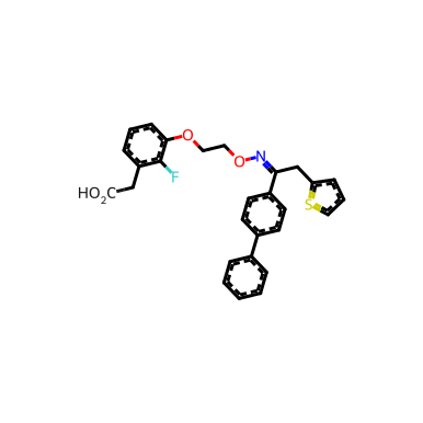 O=C(O)Cc1cccc(OCCON=C(Cc2cccs2)c2ccc(-c3ccccc3)cc2)c1F